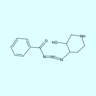 O=C(N=[N+]=NC1CCNCC1O)c1ccccc1